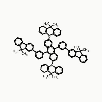 CC1(C)C2=C(C=CCC2)N(c2ccc3c(-c4cccc(-c5ccc6c(c5)C(C)(C)c5ccccc5-6)c4)c4cc(N5C6=C(CCC=C6)C(C)(C)c6ccccc65)ccc4c(-c4cccc(-c5ccc6c(c5)C(C)(C)c5ccccc5-6)c4)c3c2)c2ccccc21